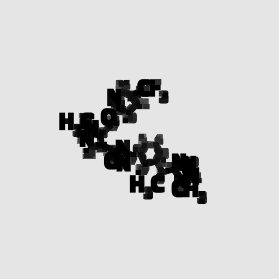 CC(c1cccc(-c2noc(-c3cnn(C)c3COc3ccc(C(F)(F)F)cn3)n2)c1)c1nnnn1C